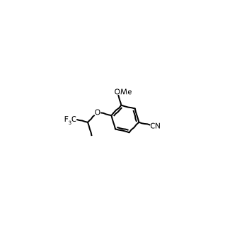 COc1cc(C#N)ccc1OC(C)C(F)(F)F